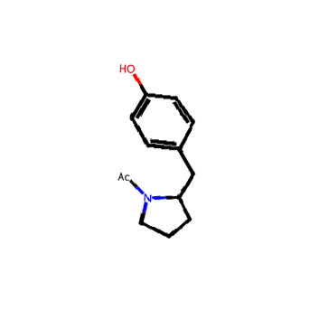 CC(=O)N1CCCC1Cc1ccc(O)cc1